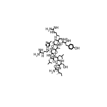 CC[C@H](C)[C@H](NC(=O)[C@H](CO)NC(=O)[C@H](CC(C)C)NC(=O)[C@H](CC(C)C)NC(=O)[C@H](CCCNC(=N)N)NC(=O)[C@H](C)NC(=O)[C@H](Cc1c[nH]cn1)NC(=O)[C@H](CCCNC(=N)N)NC(=O)[C@H](Cc1ccc(O)cc1)NC)C(N)=O